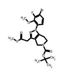 COC(=O)Cc1nn(-c2ccc(Br)c(F)c2OC)c2c1CN(C(=O)OC(C)(C)C)CC2